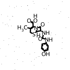 CC1=C(C(=O)O)N2C(=O)[C@@H](NC(=O)Nc3ccc(O)cc3)[C@H]2SC1